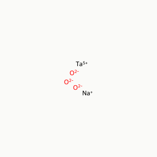 [Na+].[O-2].[O-2].[O-2].[Ta+5]